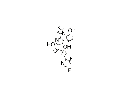 COc1cccc(-c2c(-c3csc(C)n3)nc(O)c(C(=O)N3CCC(c4ncc(F)cc4F)C3)c2O)c1